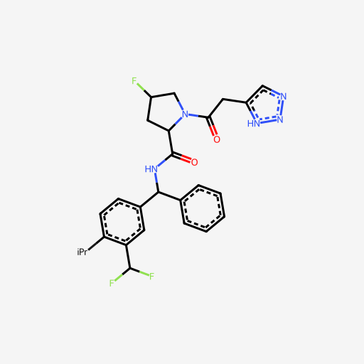 CC(C)c1ccc(C(NC(=O)C2CC(F)CN2C(=O)Cc2cnn[nH]2)c2ccccc2)cc1C(F)F